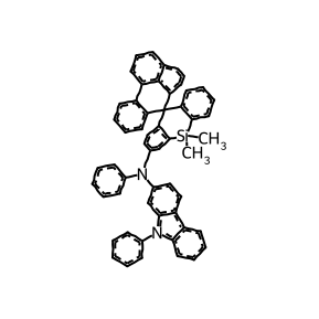 C[Si]1(C)c2ccccc2C2(c3ccccc3-c3cccc4cccc2c34)c2ccc(N(c3ccccc3)c3ccc4c5ccccc5n(-c5ccccc5)c4c3)cc21